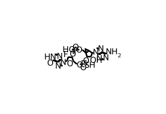 Nc1ncnc2c1ncn2C1C(O)C2OP(=O)(S)OCC3OC(n4cnc5c(=O)[nH]cnc54)C(F)C3OP(=O)(O)OCC23CC13